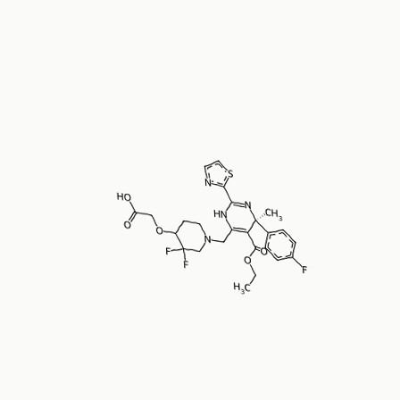 CCOC(=O)C1=C(CN2CCC(OCC(=O)O)C(F)(F)C2)NC(c2nccs2)=N[C@@]1(C)c1ccc(F)cc1